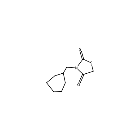 O=C1CSC(=S)N1CC1CCCCC1